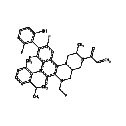 C=CC(=O)N1CC2CN(CF)c3c(c4cc(F)c(-c5c(O)cccc5F)c(F)c4n(-c4c(C)ccnc4C(C)C)c3=O)N2CC1C